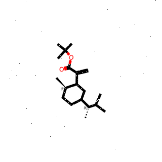 C=C(C(=O)OC(C)(C)C)C1CC([C@@H](C)C(C)C)CC[C@H]1C